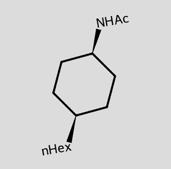 CCCCCC[C@H]1CC[C@@H](NC(C)=O)CC1